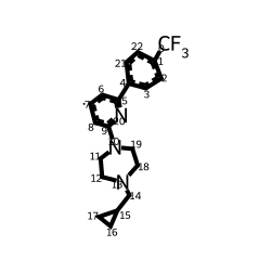 FC(F)(F)c1ccc(-c2c[c]cc(N3CCN(CC4CC4)CC3)n2)cc1